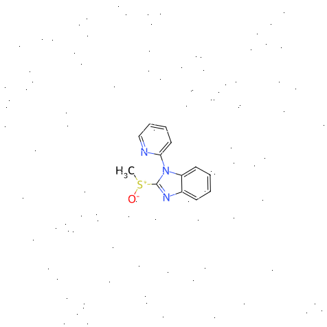 C[S+]([O-])c1nc2ccccc2n1-c1ccccn1